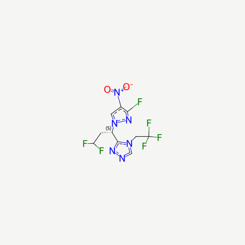 O=[N+]([O-])c1cn([C@@H](CC(F)F)c2nncn2CC(F)(F)F)nc1F